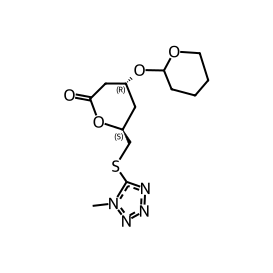 Cn1nnnc1SC[C@@H]1C[C@@H](OC2CCCCO2)CC(=O)O1